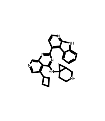 c1ccc2c(c1)[nH]c1nccc(-c3nc(NC45CCNCC4C5)c4c(C5CCC5)cncc4n3)c12